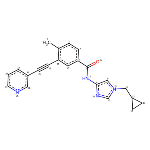 Cc1ccc(C(=O)Nc2cn(CC3CC3)cn2)cc1C#Cc1cccnc1